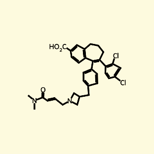 CN(C)C(=O)/C=C/CN1CC(Cc2ccc(C3=C(c4ccc(Cl)cc4Cl)CCCc4cc(C(=O)O)ccc43)cc2)C1